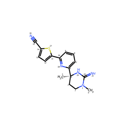 CN1CC[C@@](C)(c2cccc(-c3ccc(C#N)s3)n2)NC1=N